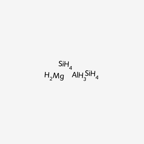 [AlH3].[MgH2].[SiH4].[SiH4]